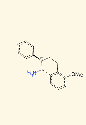 COc1cccc2c1CC[C@H](c1ccccc1)[C]2N